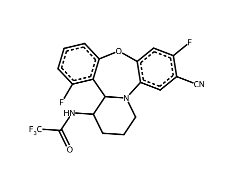 N#Cc1cc2c(cc1F)Oc1cccc(F)c1C1C(NC(=O)C(F)(F)F)CCCN21